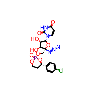 [N-]=[N+]=N[C@]1(COP2(=O)OCC[C@@H](c3ccc(Cl)cc3)O2)O[C@@H](n2ccc(=O)[nH]c2=O)[C@H](O)[C@@H]1O